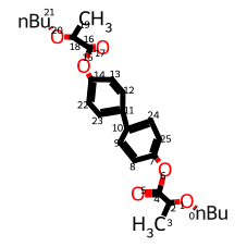 CCCCOC(C)C(=O)Oc1ccc(-c2ccc(OC(=O)C(C)OCCCC)cc2)cc1